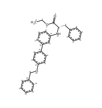 CCOC(=O)[C@H](Cc1ccccc1)Nc1ccnc(-c2ccc(OCc3ccccc3)cc2)c1